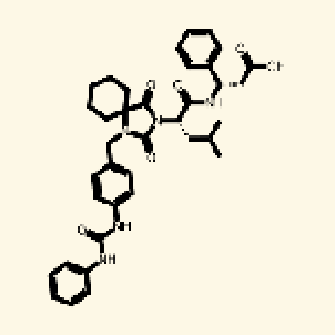 CC(C)C[C@@H](C(=O)N[C@@H](CC(=O)O)c1ccccc1)N1C(=O)N(Cc2ccc(NC(=O)Nc3ccccc3)cc2)C2(CCCCC2)C1=O